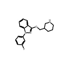 Fc1cccc(-n2nc(OCC3CCCNC3)c3ccccc32)c1